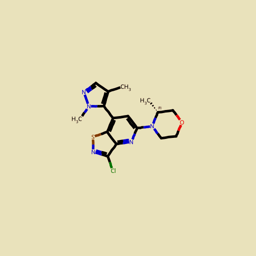 Cc1cnn(C)c1-c1cc(N2CCOC[C@H]2C)nc2c(Cl)nsc12